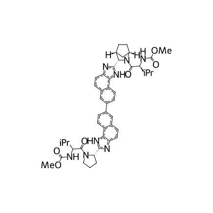 COC(=O)NC(C(=O)N1CCC[C@H]1c1nc2ccc3cc(-c4ccc5c(ccc6nc([C@@H]7[C@@H]8CC[C@@H](C8)N7C(=O)[C@@H](NC(=O)OC)C(C)C)[nH]c65)c4)ccc3c2[nH]1)C(C)C